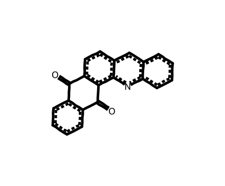 O=C1c2ccccc2C(=O)c2c1ccc1cc3ccccc3nc21